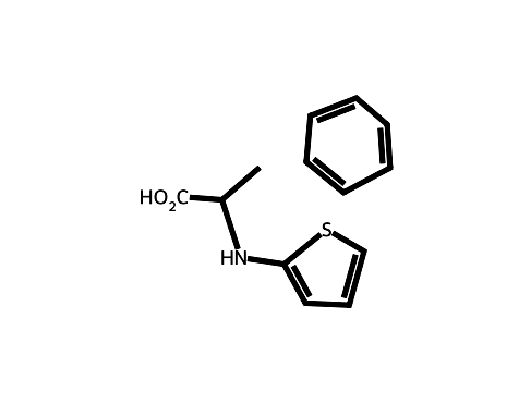 CC(Nc1cccs1)C(=O)O.c1ccccc1